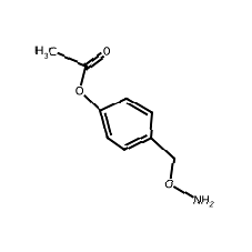 CC(=O)Oc1ccc(CON)cc1